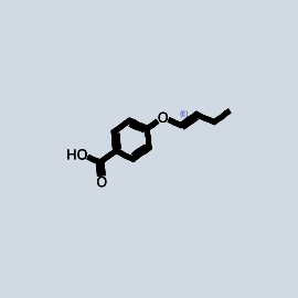 CC/C=C/Oc1ccc(C(=O)O)cc1